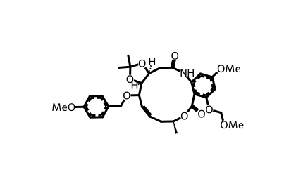 COCOc1cc(OC)cc2c1C(=O)O[C@@H](C)C/C=C\C(OCc1ccc(OC)cc1)[C@H]1OC(C)(C)O[C@H]1CC(=O)N2